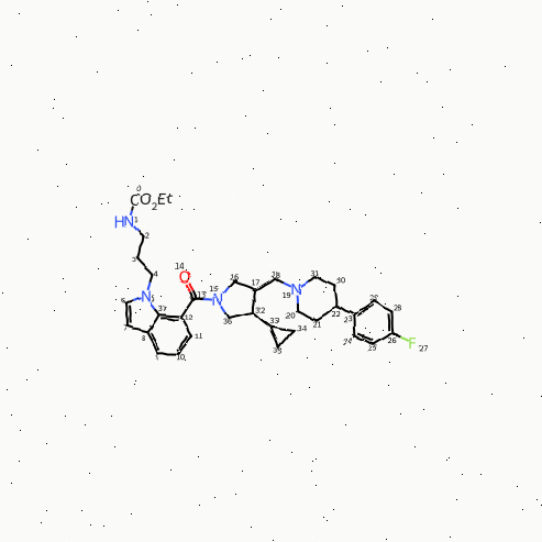 CCOC(=O)NCCCn1ccc2cccc(C(=O)N3CC(CN4CCC(c5ccc(F)cc5)CC4)C(C4CC4)C3)c21